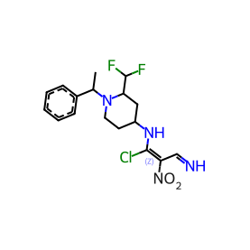 CC(c1ccccc1)N1CCC(N/C(Cl)=C(\C=N)[N+](=O)[O-])CC1C(F)F